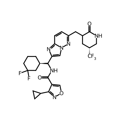 O=C(NC(c1cn2nc(CC3C[C@@H](C(F)(F)F)CNC3=O)ccc2n1)[C@@H]1CCCC(F)(F)C1)c1conc1C1CC1